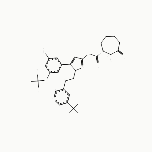 C[C@H]1C(=O)CCCC[C@@H]1C(=O)NC1=NC(CCc2cncc(C(F)(F)F)c2)C(c2cc(F)cc(OC(F)(F)F)c2)=C1